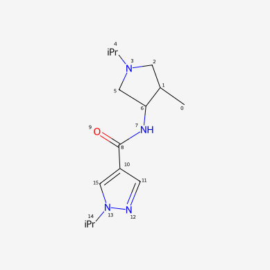 CC1CN(C(C)C)CC1NC(=O)c1cnn(C(C)C)c1